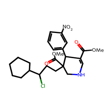 COC(=O)C1=CNCC(CCC(Cl)C2CCCCC2)(C(=O)OC)C1c1cccc([N+](=O)[O-])c1